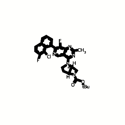 Cc1nc(N2CC[C@@H]3[C@H]2CN3C(=O)OC(C)(C)C)c2cnc(-c3cccc4ccc(F)c(Cl)c34)c(F)c2n1